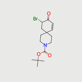 CC(C)(C)OC(=O)N1CCC2(C=CC(=O)C(Br)C2)CC1